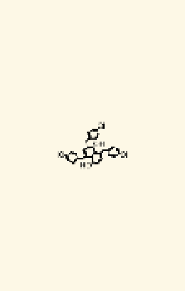 Oc1ccc(Cc2cc(Cc3ccc(O)cc3)c3c(O)ccc(Cc4ccc(O)cc4)c3c2O)cc1